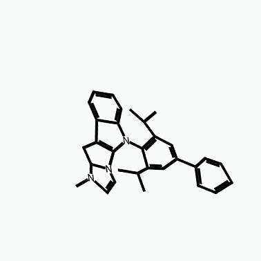 CC(C)c1cc(-c2ccccc2)cc(C(C)C)c1-n1c2c(c3ccccc31)CC1N(C)C=CN21